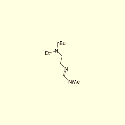 CCCCN(CC)CC/N=C/NC